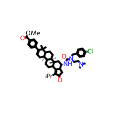 COC(=O)c1ccc(C2=CC[C@@]3(C)C(CC[C@]4(C)C3CCC3C5=C(C(C)C)C(=O)CC5[C@@H](NC(=O)N(CCN(C)C)Cc5ccc(Cl)cc5)C[C@]34C)C2(C)C)cc1